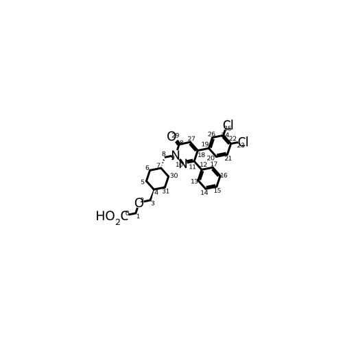 O=C(O)COC[C@H]1CC[C@H](Cn2nc(-c3ccccc3)c(-c3ccc(Cl)c(Cl)c3)cc2=O)CC1